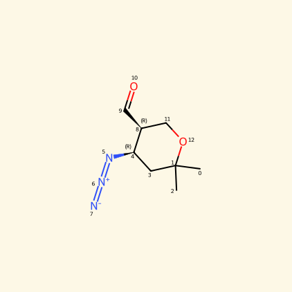 CC1(C)C[C@@H](N=[N+]=[N-])[C@@H](C=O)CO1